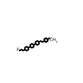 CCc1ccc(CCC2CCC(C3CCC(C4CCC(CCCF)CC4)CC3)CC2)cc1